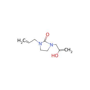 C=CCN1CCN(CC(=C)O)C1=O